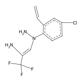 C=Cc1cc(Cl)ccc1N(N)/C=C(\N)C(F)(F)F